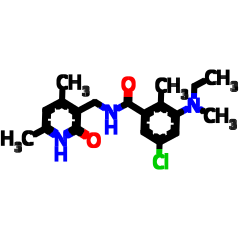 CCN(C)c1cc(Cl)cc(C(=O)NCc2c(C)cc(C)[nH]c2=O)c1C